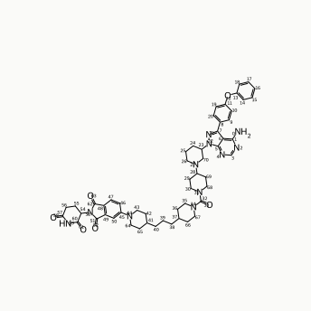 Nc1ncnc2c1c(-c1ccc(Oc3ccccc3)cc1)nn2C1CCCN(C2CCN(C(=O)N3CCC(CCCC4CCN(c5ccc6c(c5)C(=O)N(C5CCC(=O)NC5=O)C6=O)CC4)CC3)CC2)C1